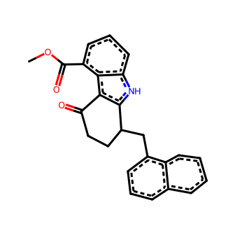 COC(=O)c1cccc2[nH]c3c(c12)C(=O)CCC3Cc1cccc2ccccc12